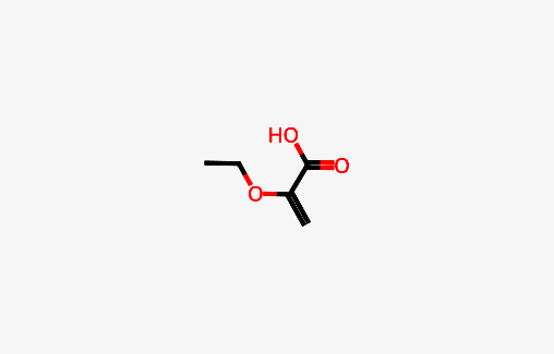 C=C(OCC)C(=O)O